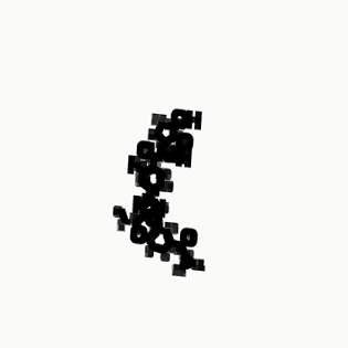 CC[C@@H](Oc1ccc(C(=O)C2CC2)cc1)c1nc(-c2ccc(C(=O)NC3CCC(O)C3O)c(F)c2)no1